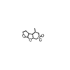 CC1CS(=O)(=O)CC2OC3OCCC3C12